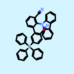 N#Cc1ccc([Si](c2ccccc2)(c2ccccc2)c2ccccc2)cc1-c1cccc(C#N)c1-n1c2ccccc2c2ccccc21